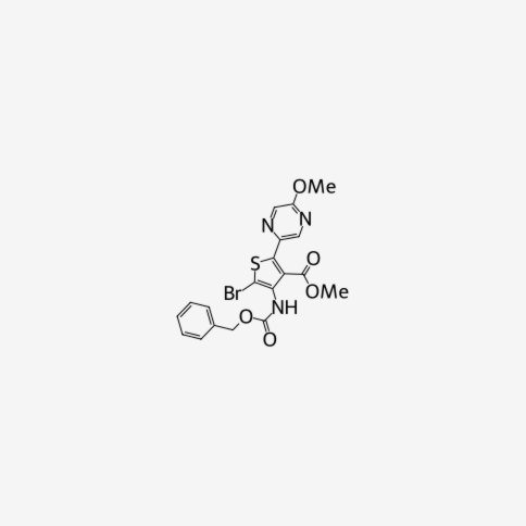 COC(=O)c1c(-c2cnc(OC)cn2)sc(Br)c1NC(=O)OCc1ccccc1